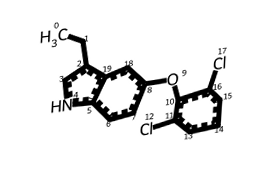 CCc1c[nH]c2ccc(Oc3c(Cl)cccc3Cl)cc12